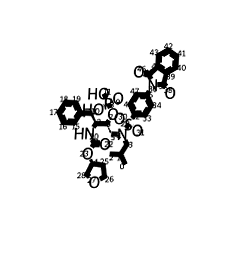 CC(C)CN(C[C@@H](OP(=O)(O)O)[C@H](Cc1ccccc1)NC(=O)O[C@H]1CCOC1)S(=O)(=O)c1ccc(N2C(=O)c3ccccc3C2=O)cc1